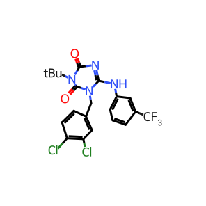 CC(C)(C)n1c(=O)nc(Nc2cccc(C(F)(F)F)c2)n(Cc2ccc(Cl)c(Cl)c2)c1=O